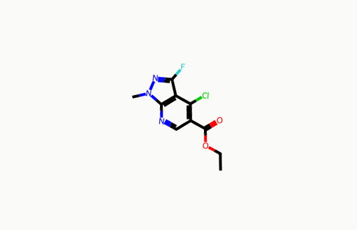 CCOC(=O)c1cnc2c(c(F)nn2C)c1Cl